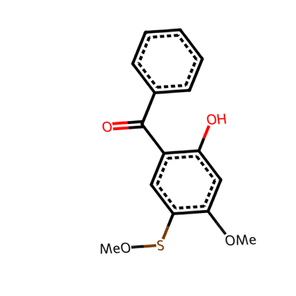 COSc1cc(C(=O)c2ccccc2)c(O)cc1OC